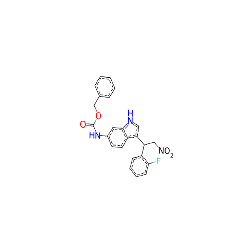 O=C(Nc1ccc2c(C(C[N+](=O)[O-])c3ccccc3F)c[nH]c2c1)OCc1ccccc1